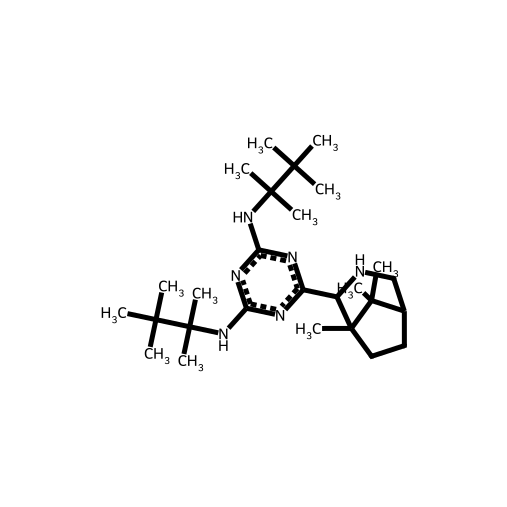 CC(C)(C)C(C)(C)Nc1nc(NC(C)(C)C(C)(C)C)nc(C2NCC3CCC2(C)C3(C)C)n1